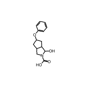 O=C(O)N1CC2CC(Oc3ccccc3)CC2C1O